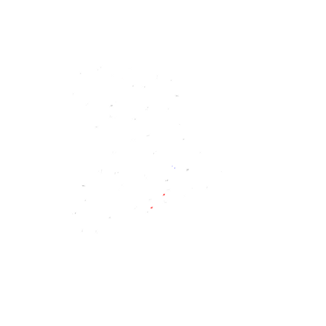 c1ccc(-c2ccccc2N(c2ccc(-c3cccc(-c4oc5ccccc5c4-c4ccccc4)c3)cc2)c2cccc(-c3cccc4ccccc34)c2)cc1